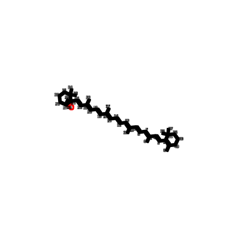 CC1=C(/C=C/C(C)=C/C=C/C(C)=C/C=C/C=C(C)/C=C/C=C(C)/C=C/C23OC2(C)CCCC3(C)C)C(C)(C)CCC1